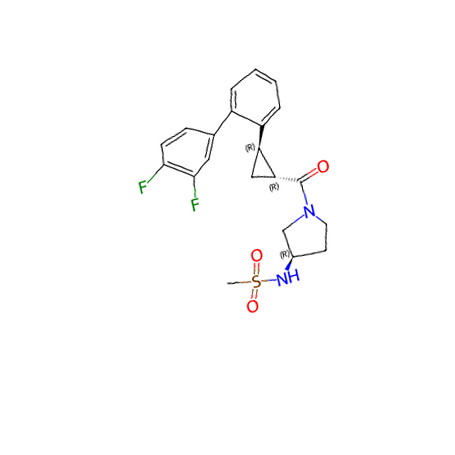 CS(=O)(=O)N[C@@H]1CCN(C(=O)[C@@H]2C[C@H]2c2ccccc2-c2ccc(F)c(F)c2)C1